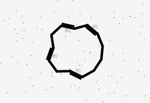 [C]1=C/CCC/C=C\C=C\C/C=C/C/1